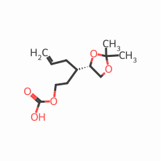 C=CCC(CCOC(=O)O)[C@H]1COC(C)(C)O1